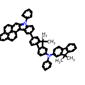 CC1(C)c2ccccc2-c2ccc(N(c3ccccc3)c3ccc4c(c3)C(C)(C)c3cc(-c5ccc6c(c5)c5c7ccc8cccc9ccc(cc5n6-c5ccccc5)c7c98)ccc3-4)cc21